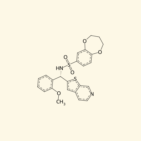 COc1ccccc1[C@H](NS(=O)(=O)c1ccc2c(c1)OCCCO2)c1cc2ccncc2s1